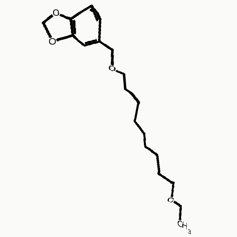 CCOCCCCCCCCCOCc1ccc2c(c1)OCO2